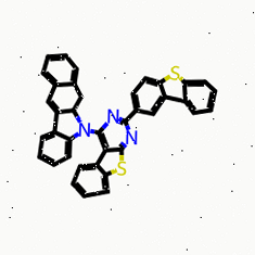 C1=C2c3ccccc3N(c3nc(-c4ccc5sc6ccccc6c5c4)nc4sc5ccccc5c34)C2Cc2ccccc21